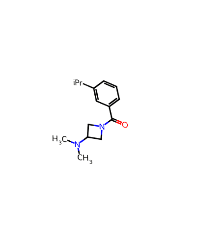 CC(C)c1cccc(C(=O)N2CC(N(C)C)C2)c1